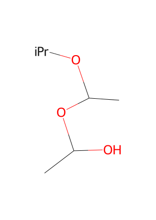 CC(C)OC(C)OC(C)O